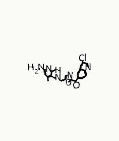 Cc1cc(N)nc(C)c1CNCc1cnc(C(=O)c2ccc3ncc(Cl)cc3c2)o1